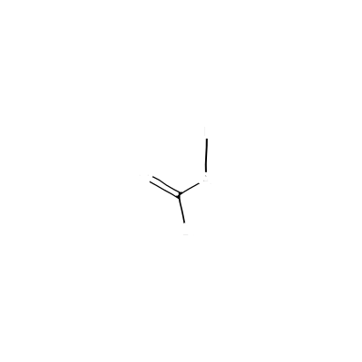 C[CH2][AlH][C](=O)CC